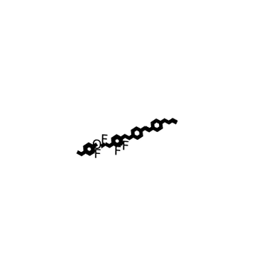 C=CCCC1CCC(/C=C/C2CCC(CCc3ccc(CC(F)COc4ccc(CC)cc4F)c(F)c3F)CC2)CC1